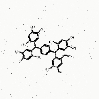 CCc1cc(O)c(C)cc1C(c1ccc(C(c2cc(C)c(O)cc2C)c2cc(C)c(O)cc2C)cc1)c1cc(C)c(O)cc1C